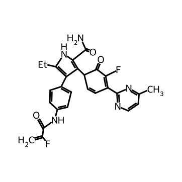 C=C(F)C(=O)Nc1ccc(-c2c(CC)[nH]c(C(N)=O)c2C2C=CC(c3nccc(C)n3)=C(F)C2=O)cc1